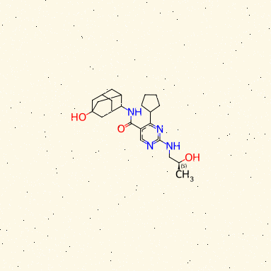 C[C@H](O)CNc1ncc(C(=O)NC2C3CC4CC2CC(O)(C4)C3)c(C2CCCC2)n1